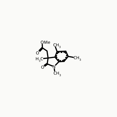 COC(=O)CC1(C)C(=O)N(C)c2cc(C)cc(C)c21